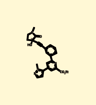 CCOC(=O)c1cc(-c2ccnn2C)cc(-c2cccc(C#C[C@]3(O)CCN(C)C3=O)c2)n1